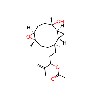 C=C(C)C(CC[C@@]1(C)CC[C@]2(C)O[C@H]2CC[C@](C)(O)[C@H]2C[C@@H]21)OC(C)=O